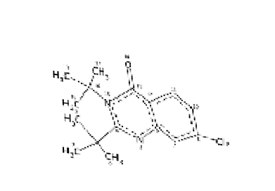 CC(C)(C)c1nc2cc(Cl)ccc2c(=O)n1C(C)(C)C